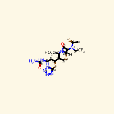 CC(=S)N(CC(F)(F)F)C1C(=O)N2C(C(=O)O)=C(C(CCNC(N)=O)Sc3nnn[nH]3)CS[C@@H]12